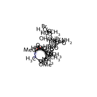 C=C(CBr)C(=O)OC(C)(C)CCC[C@@H](C=O)N[C@H](C(=O)N[C@@H](CCCNC(N)=O)C(=O)Nc1ccc(C(=O)N(C)[C@@H](C)C(=O)O[C@H]2CC(=O)N(C)c3cc(cc(OC)c3Cl)C/C(C)=C/C=C/[C@@H](OC)[C@@]3(O)C[C@H](OC(=O)N3)[C@@H](C)[C@@H]3O[C@@]23C)cc1O)C(C)C